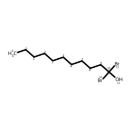 CCCCCCCCCCC(O)(Br)Br